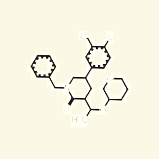 CC(OC1CCCOC1)C1CC(c2ccc(Cl)c(Cl)c2)CN(Cc2ccccc2)C1=O